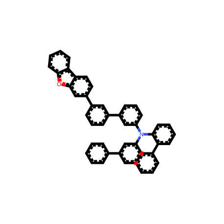 c1ccc(-c2cccc(N(c3cccc(-c4cccc(-c5ccc6c(c5)oc5ccccc56)c4)c3)c3ccccc3-c3ccccc3)c2)cc1